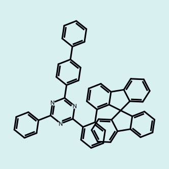 c1ccc(-c2ccc(-c3nc(-c4ccccc4)nc(-c4ccccc4-c4cccc5c4C4(c6ccccc6-c6ccccc64)c4ccccc4-5)n3)cc2)cc1